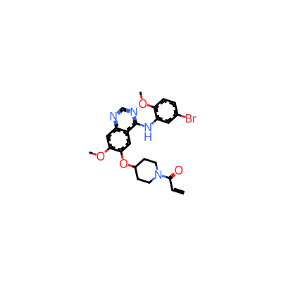 C=CC(=O)N1CCC(Oc2cc3c(Nc4cc(Br)ccc4OC)ncnc3cc2OC)CC1